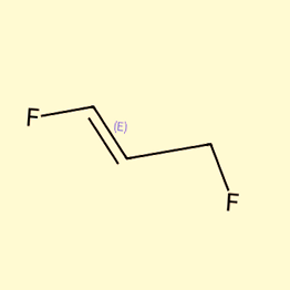 F/C=C/CF